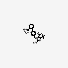 CCCc1nc2c(n1Cc1ccc(-c3ccccc3-c3nnn[nH]3)cc1)C(=O)OC2(C)C